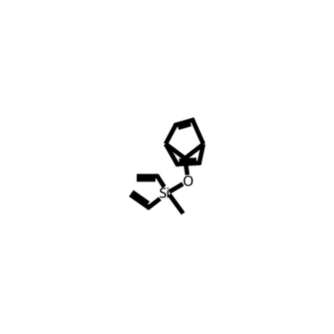 C=C[Si](C)(C=C)OC1C2C=CC1C=C2